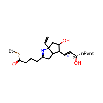 C=CC12CC(O)C(/C=C/[C@@H](O)CCCCC)C1CC(CCCC(=O)SCC)=N2